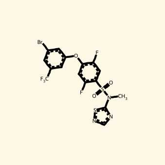 CN(c1ncns1)S(=O)(=O)c1cc(F)c(Oc2cc(Br)cc(C(F)(F)F)c2)cc1F